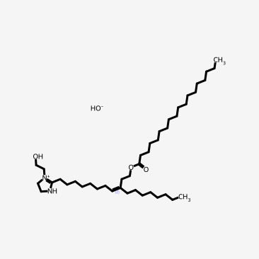 CCCCCCCCCCCCCCCCCC(=O)OCC/C(=C\CCCCCCCC1=[N+](CCO)CCN1)CCCCCCCC.[OH-]